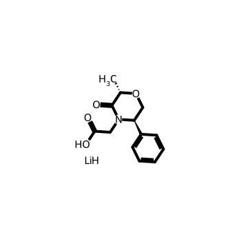 C[C@@H]1OC[C@@H](c2ccccc2)N(CC(=O)O)C1=O.[LiH]